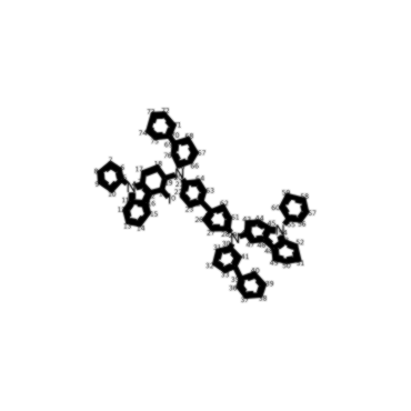 IC1c2c(n(-c3ccccc3)c3ccccc23)C=CC1N(c1ccc(-c2ccc(N(c3cccc(-c4ccccc4)c3)c3ccc4c(c3)c3ccccc3n4-c3ccccc3)cc2)cc1)c1cccc(-c2ccccc2)c1